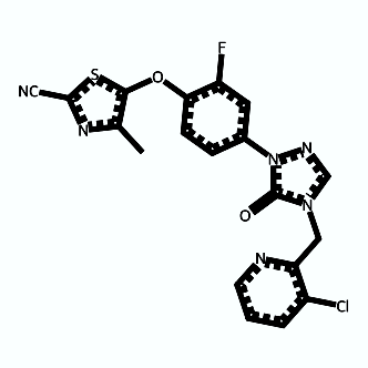 Cc1nc(C#N)sc1Oc1ccc(-n2ncn(Cc3ncccc3Cl)c2=O)cc1F